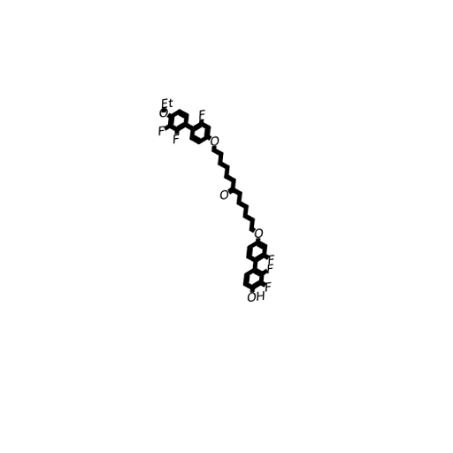 CCOc1ccc(-c2ccc(OCCCCCCC(=O)CCCCCCOc3ccc(-c4ccc(O)c(F)c4F)c(F)c3)cc2F)c(F)c1F